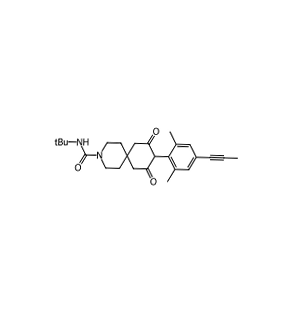 CC#Cc1cc(C)c(C2C(=O)CC3(CCN(C(=O)NC(C)(C)C)CC3)CC2=O)c(C)c1